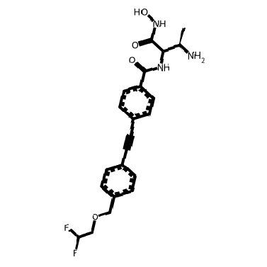 C[C@@H](N)C(NC(=O)c1ccc(C#Cc2ccc(COCC(F)F)cc2)cc1)C(=O)NO